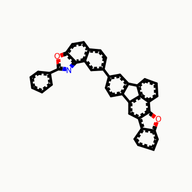 c1ccc(-c2nc3c(ccc4ccc(-c5ccc6c(c5)-c5cccc7c5c-6cc5c6ccccc6oc75)cc43)o2)cc1